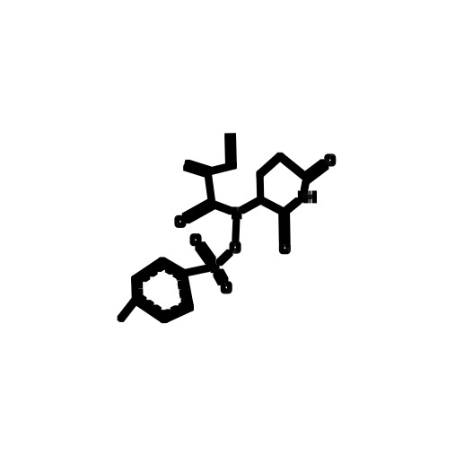 C=CC(=C)C(=O)N(OS(=O)(=O)c1ccc(C)cc1)C1CCC(=O)NC1=O